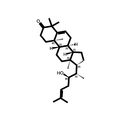 CC(C)=CC[C@@H](O)[C@@H](C)[C@H]1CC[C@H]2[C@@H]3CC=C4C(C)(C)C(=O)CC[C@]4(C)[C@H]3CC[C@]12C